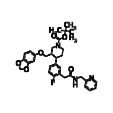 CC(C)(C)OC(=O)N1CCC(c2ccc(F)c(CC(=O)NCc3ccccn3)c2)C(COc2ccc3c(c2)OCO3)C1